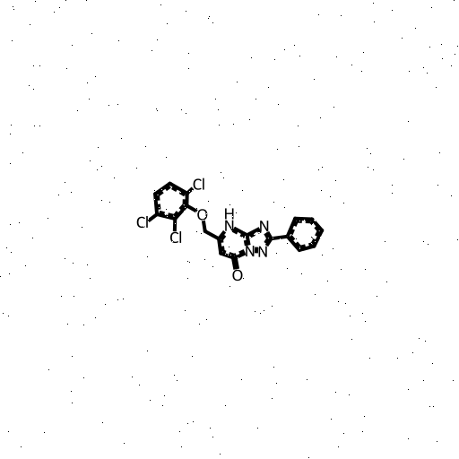 O=c1cc(COc2c(Cl)ccc(Cl)c2Cl)[nH]c2nc(-c3ccccc3)nn12